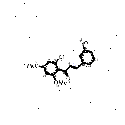 COc1cc(O)c(C(=O)/C=C/c2cccc(N=O)c2)c(OC)c1